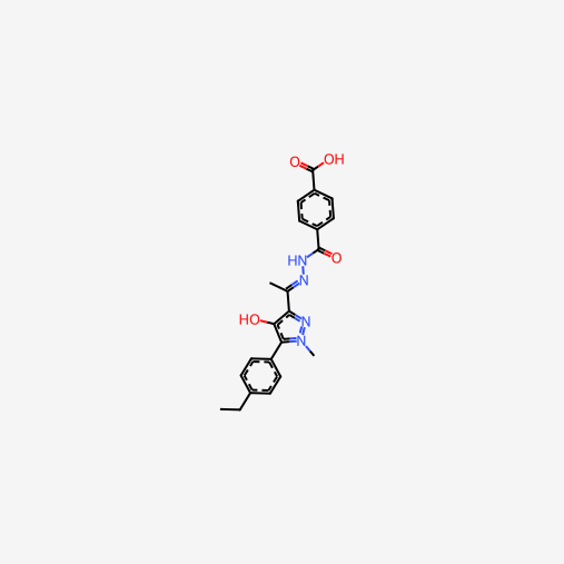 CCc1ccc(-c2c(O)c(/C(C)=N/NC(=O)c3ccc(C(=O)O)cc3)nn2C)cc1